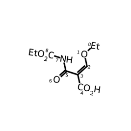 CCO/C=C(/C(=O)O)C(=O)NC(=O)OCC